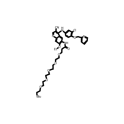 CCOc1cc2ncc(C#N)c(Nc3ccc(OCc4ccccn4)c(Cl)c3)c2cc1NC(=O)CCOCCOCCOCCOCCOCCC(C)(C)C